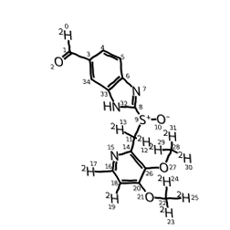 [2H]C(=O)c1ccc2nc([S+]([O-])C([2H])([2H])c3nc([2H])c([2H])c(OC([2H])([2H])[2H])c3OC([2H])([2H])[2H])[nH]c2c1